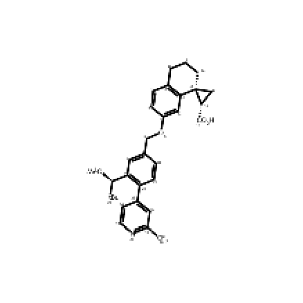 CO[C@@H](c1cc(COc2ccc3c(c2)[C@@]2(CCC3)C[C@@H]2C(=O)O)ccc1-c1ccnc(C(F)(F)F)c1)C(C)(C)C